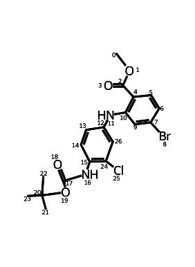 COC(=O)c1ccc(Br)cc1Nc1ccc(NC(=O)OC(C)(C)C)c(Cl)c1